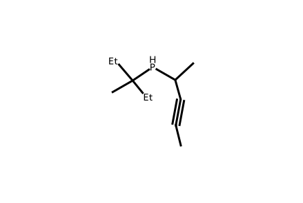 CC#CC(C)PC(C)(CC)CC